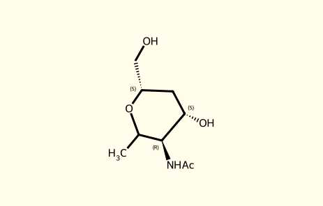 CC(=O)N[C@H]1C(C)O[C@H](CO)C[C@@H]1O